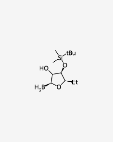 B[C@@H]1O[C@H](CC)[C@H](O[Si](C)(C)C(C)(C)C)C1O